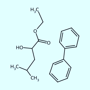 CCOC(=O)C(O)CC(C)C.c1ccc(-c2ccccc2)cc1